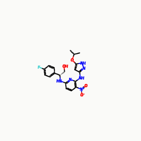 CC(C)Oc1cc(Nc2nc(N[C@@H](CO)c3ccc(F)cc3)ccc2[N+](=O)[O-])n[nH]1